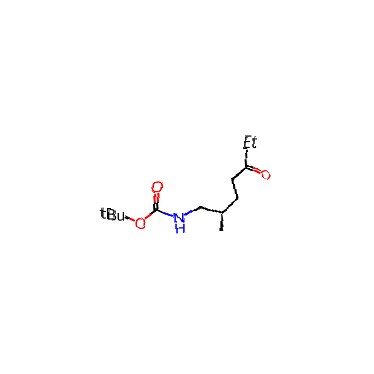 CCC(=O)CC[C@@H](C)CNC(=O)OC(C)(C)C